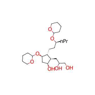 CCC[C@@H](CC[C@@H]1[C@@H](CC(O)CO)[C@@H](O)C[C@H]1OC1CCCCO1)OC1CCCCO1